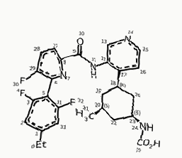 CCc1cc(F)c(-c2nc(C(=O)Nc3cnccc3[C@@H]3C[C@H](C)C[C@H](NC(=O)O)C3)ccc2F)c(F)c1